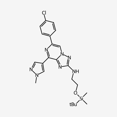 Cn1cc(-c2nc(-c3ccc(Cl)cc3)cn3nc(NCCO[Si](C)(C)C(C)(C)C)nc23)cn1